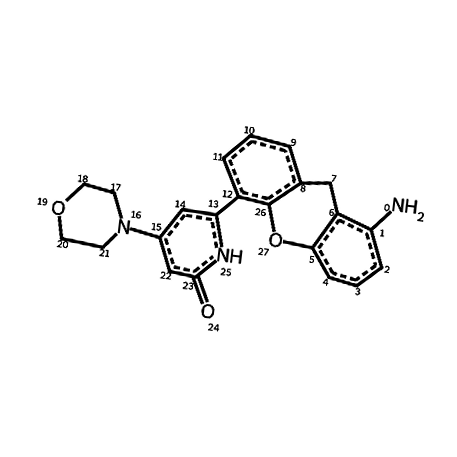 Nc1cccc2c1Cc1cccc(-c3cc(N4CCOCC4)cc(=O)[nH]3)c1O2